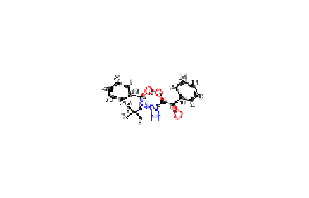 CC(C)(C)N(NC(=O)C(=O)c1ccccc1)C(=O)c1ccccc1